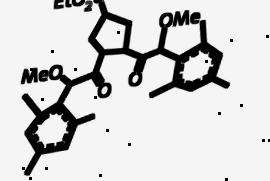 CCOC(=O)C1CC(C(=O)C(OC)c2c(C)cc(C)cc2C)C(C(=O)C(OC)c2c(C)cc(C)cc2C)C1